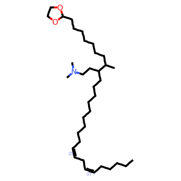 CCCCC/C=C\C/C=C\CCCCCCCCCC(CCN(C)C)C(C)CCCCCCCC1OCCO1